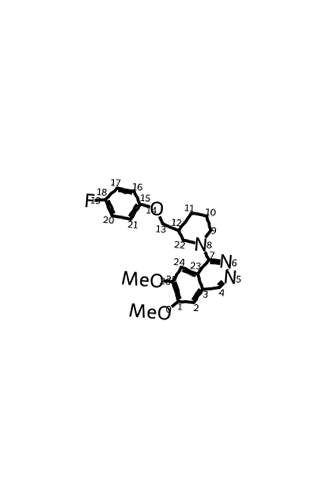 COc1cc2cnnc(N3CCCC(COc4ccc(F)cc4)C3)c2cc1OC